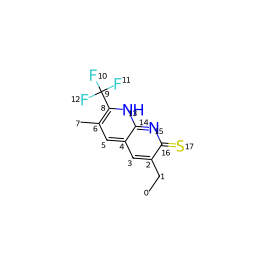 CCc1cc2cc(C)c(C(F)(F)F)[nH]c-2nc1=S